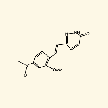 COc1cc([S+](C)[O-])ccc1C=Cc1ccc(=O)[nH]n1